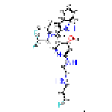 COc1cc(NCCNCCCF)ncc1[C@@H]1c2[nH]c3ccccc3c2C[C@@H](C)N1CC(F)F